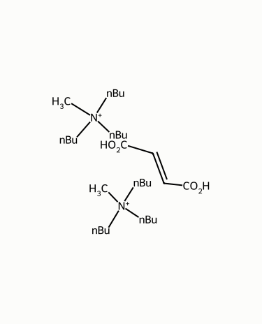 CCCC[N+](C)(CCCC)CCCC.CCCC[N+](C)(CCCC)CCCC.O=C(O)/C=C/C(=O)O